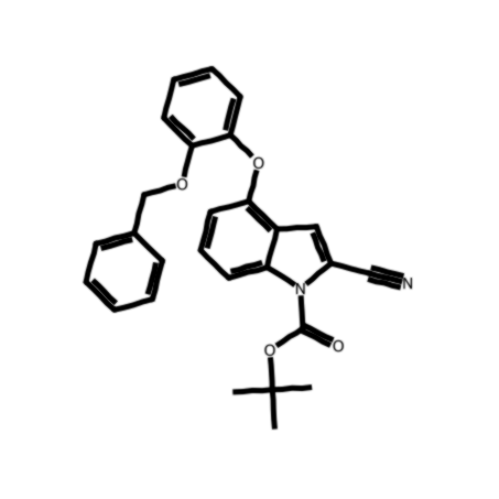 CC(C)(C)OC(=O)n1c(C#N)cc2c(Oc3ccccc3OCc3ccccc3)cccc21